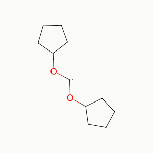 [CH](OC1CCCC1)OC1CCCC1